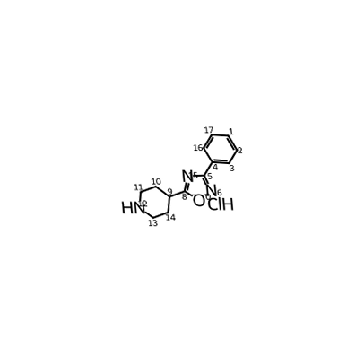 Cl.c1ccc(-c2noc(C3CCNCC3)n2)cc1